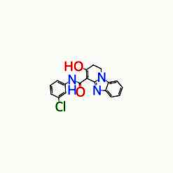 O=C(Nc1cccc(Cl)c1)C1=C(O)CCn2c1nc1ccccc12